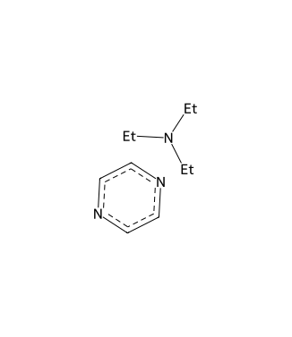 CCN(CC)CC.c1cnccn1